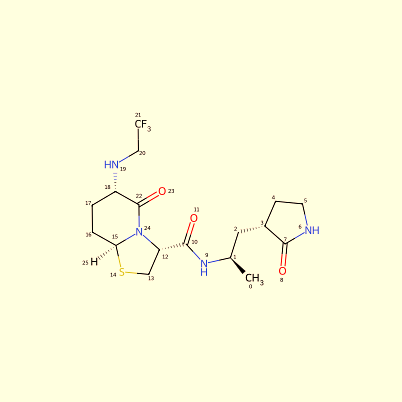 C[C@H](C[C@@H]1CCNC1=O)NC(=O)[C@@H]1CS[C@H]2CC[C@H](NCC(F)(F)F)C(=O)N21